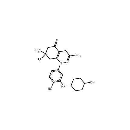 CC1=NN(c2ccc(C#N)c(N[C@H]3CC[C@H](O)CC3)c2)C2=C(C1)C(=O)CC(C)(C)C2